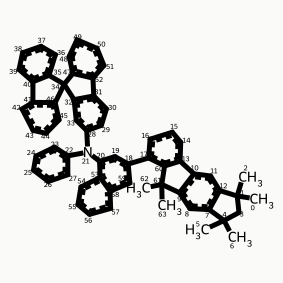 CC1(C)CC(C)(C)c2cc3c(cc21)-c1cccc(-c2cc(N(c4ccccc4)c4ccc5c(c4)C4(c6ccccc6-c6ccccc64)c4ccccc4-5)c4ccccc4c2)c1C3(C)C